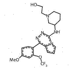 COc1ccc(-c2nnc(NC3CCCN(CCO)C3)n3cccc23)c(OC(F)(F)F)c1